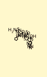 Nc1nc(C(=NOC2CCCC2)C(=O)NC2(C=S)C(=O)N3C(C(=O)O)=C(c4ccc5nnnn5n4)CS[C@H]32)ns1